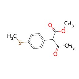 COC(=O)C(C(C)=O)c1ccc(SC)cc1